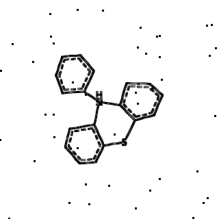 c1ccc([SiH]2c3ccccc3Sc3ccccc32)cc1